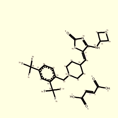 O=C(O)/C=C/C(=O)O.O=C1N=C(NC2COC2)/C(=C/C2CCN(Cc3ccc(C(F)(F)F)cc3C(F)(F)F)CC2)S1